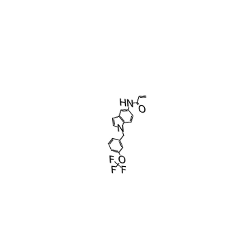 C=CC(=O)Nc1ccc2c(ccn2Cc2cccc(OC(F)(F)F)c2)c1